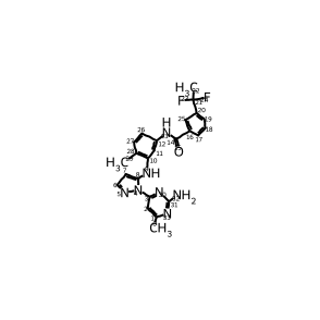 Cc1cc(-n2nccc2Nc2cc(NC(=O)c3cccc(C(C)(F)F)c3)ccc2C)nc(N)n1